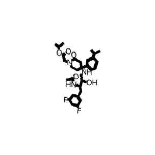 CC(=O)NC(Cc1cc(F)cc(F)c1)C(O)CN[C@]1(c2cccc(C(C)C)c2)CCN(CC(=O)OC(C)C)C(=O)C1